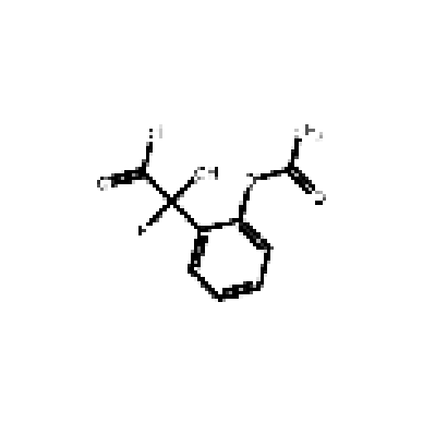 CC(=O)Oc1ccccc1C(O)(F)C(=O)Cl